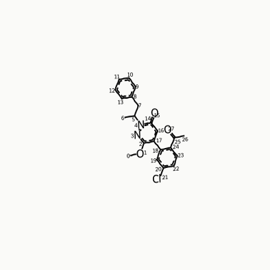 COc1nn(C(C)Cc2ccccc2)c(=O)cc1-c1cc(Cl)ccc1C(C)=O